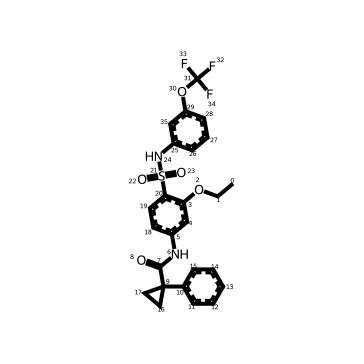 CCOc1cc(NC(=O)C2(c3ccccc3)CC2)ccc1S(=O)(=O)Nc1cccc(OC(F)(F)F)c1